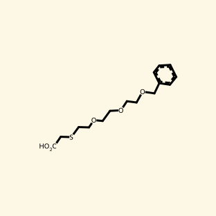 O=C(O)CSCCOCCOCCOCc1ccccc1